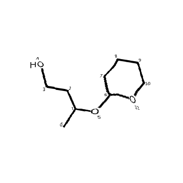 CC(CCO)OC1CCCCO1